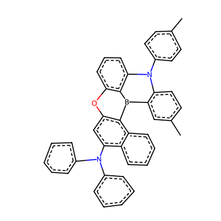 Cc1ccc(N2c3ccc(C)cc3B3c4c(cccc42)Oc2cc(N(c4ccccc4)c4ccccc4)c4ccccc4c23)cc1